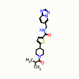 CC(C)C(=O)N1CCC(c2ccc(C(=O)NCc3ccc4ncnn4c3)s2)CC1